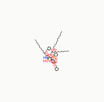 CCCCCCCCCCCCCC(=O)O[C@H](CCCCCCCCCCC)CC(=O)O[C@H]1[C@H](OP(=O)(c2ccccc2)c2ccccc2)[C@@H](COC(=O)OCc2ccccc2)OC(O)[C@@H]1NC(=O)C[C@H](CCCCCCCCCCC)OCc1ccccc1